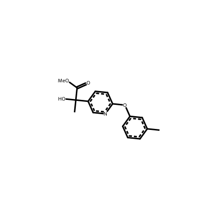 COC(=O)C(C)(O)c1ccc(Oc2cccc(C)c2)nc1